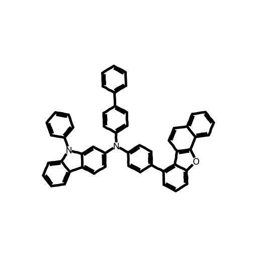 c1ccc(-c2ccc(N(c3ccc(-c4cccc5oc6c7ccccc7ccc6c45)cc3)c3ccc4c5ccccc5n(-c5ccccc5)c4c3)cc2)cc1